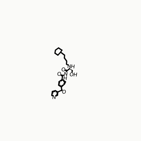 O=C(NC(=O)[C@H](CO)NCCCCC1CCCCC1)c1ccc(C(=O)c2cccnc2)cc1